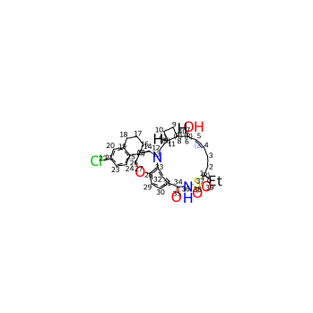 CC[C@@H]1CC/C=C\[C@H](O)[C@@H]2CC[C@H]2CN2C[C@@]3(CCCc4cc(Cl)ccc43)COc3ccc(cc32)C(=O)NS1(=O)=O